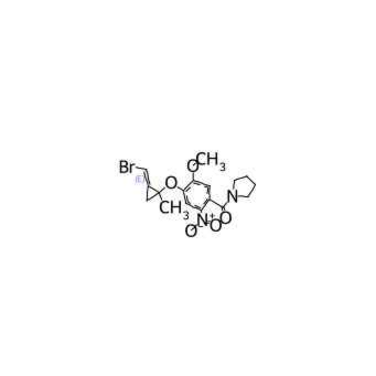 COc1cc(C(=O)N2CCCC2)c([N+](=O)[O-])cc1OC1(C)C/C1=C\Br